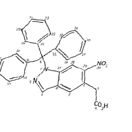 O=C(O)Cc1cc2cnn(C(c3ccccc3)(c3ccccc3)c3ccccc3)c2cc1[N+](=O)[O-]